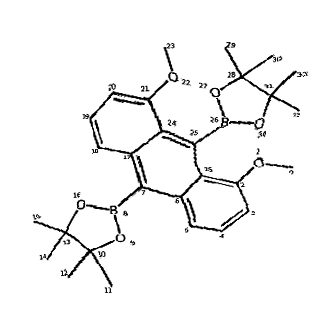 COc1cccc2c(B3OC(C)(C)C(C)(C)O3)c3cccc(OC)c3c(B3OC(C)(C)C(C)(C)O3)c12